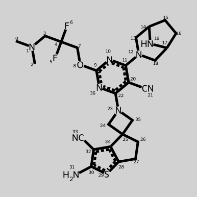 CN(C)CC(F)(F)COc1nc(N2CC3CCC(C2)N3)c(C#N)c(N2CC3(CCc4sc(N)c(C#N)c43)C2)n1